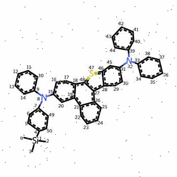 C[Si](C)(C)c1ccc(N(c2ccccc2)c2ccc3c(c2)c2ccccc2c2c4ccc(N(c5ccccc5)c5ccccc5)cc4sc32)cc1